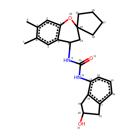 Cc1cc2c(cc1C)C(NC(=O)Nc1cccc3c1CC(O)C3)CC1(CCCC1)O2